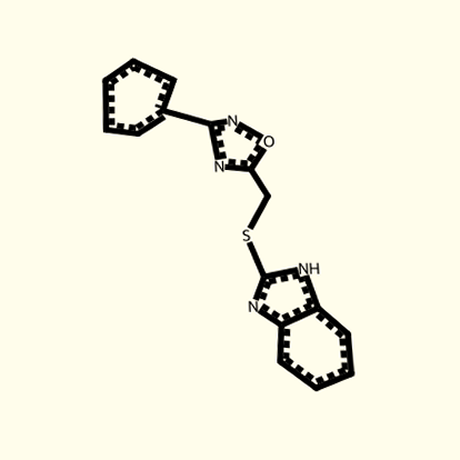 c1ccc(-c2noc(CSc3nc4ccccc4[nH]3)n2)cc1